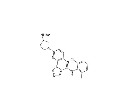 CC(=O)NC1CCN(c2ccc3nc(Nc4c(C)cccc4Cl)c4cncn4c3n2)C1